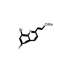 COC=Cc1ccc2cc(F)cc(Br)c2n1